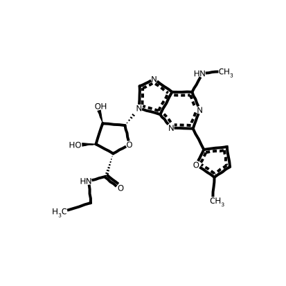 CCNC(=O)[C@H]1O[C@@H](n2cnc3c(NC)nc(-c4ccc(C)o4)nc32)[C@H](O)[C@@H]1O